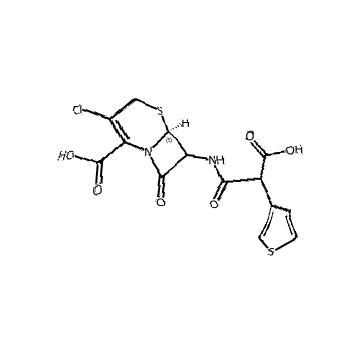 O=C(O)C1=C(Cl)CS[C@H]2C(NC(=O)C(C(=O)O)c3ccsc3)C(=O)N12